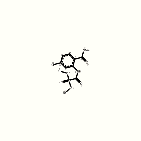 CCOP(=O)(OCC)C(=O)Nc1cc(Cl)ccc1C(=O)NC